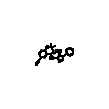 CC1(C)Oc2ccc(C#N)cc2C(Nc2nc(-c3ccccc3)cs2)[C@H]1O